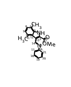 COC(=O)c1[nH]c2c(C)ccc(C)c2c1C=Nc1ccccc1